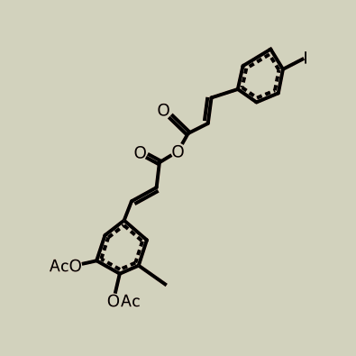 CC(=O)Oc1cc(C=CC(=O)OC(=O)/C=C/c2ccc(I)cc2)cc(C)c1OC(C)=O